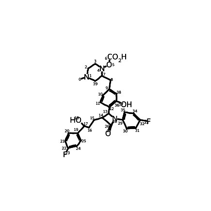 CN1CCN(OC(=O)O)C(Cc2ccc(C3C(CCC(O)c4ccc(F)cc4)C(=O)N3c3ccc(F)cc3)c(O)c2)C1